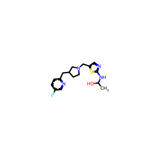 CC(O)Nc1ncc(CN2CCC(Cc3ccc(F)cn3)C2)s1